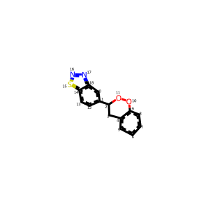 [c]1c(C2Cc3ccccc3OO2)ccc2snnc12